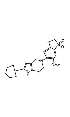 COc1cc2c(cc1N1CCc3[nH]c(C4CCCCC4)cc3C1)CCS2(=O)=O